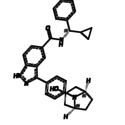 O=C(N[C@H](c1ccccc1)C1CC1)c1ccc2[nH]nc(-c3ccc(N4[C@@H]5CC[C@H]4CC(O)C5)cc3)c2c1